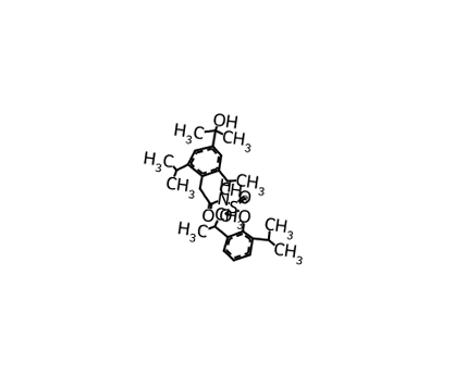 CC(C)c1cc(C(C)(C)O)cc(C(C)C)c1CC(=O)NS(=O)(=O)Oc1c(C(C)C)cccc1C(C)C